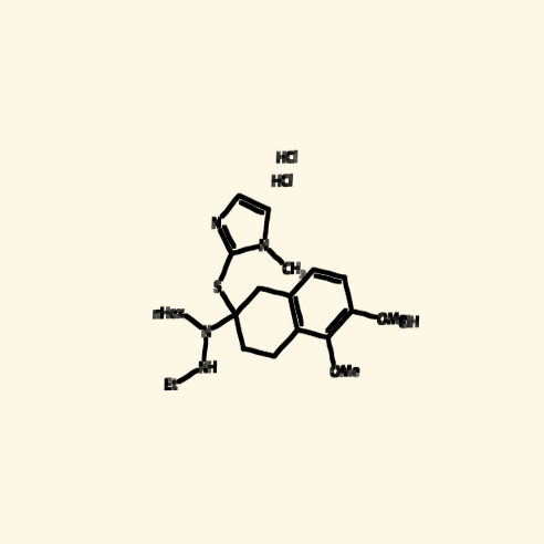 CCCCCCN(NCC)C1(Sc2nccn2C)CCc2c(ccc(OC)c2OC)C1.Cl.Cl.Cl